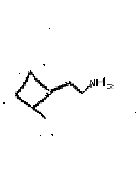 CC1CCC1CCN